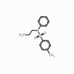 CCCN(c1ccccc1)S(=O)(=O)c1ccc(C)cc1